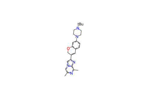 Cc1cn2cc(C3=Cc4ccc(N5CCN(C(C)(C)C)CC5)cc4OC3)nc2c(C)n1